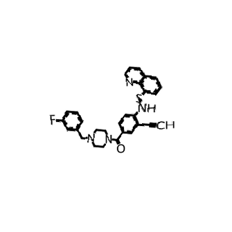 C#Cc1cc(C(=O)N2CCN(Cc3cccc(F)c3)CC2)ccc1NSc1cccc2cccnc12